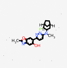 Cc1nc2cc(O)c(-c3ccc(N(C)[C@@H]4C[C@H]5CC[C@H](C5)[C@@H]4F)nn3)cc2o1